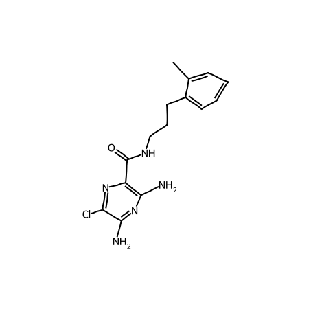 Cc1ccccc1CCCNC(=O)c1nc(Cl)c(N)nc1N